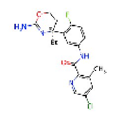 CC[C@@]1(c2cc(NC(=O)c3ncc(Cl)cc3C)ccc2F)CCOC(N)=N1